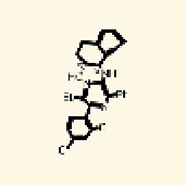 CCc1nc(-c2ccc(Cl)cc2Cl)c(CC)nc1N[C@H]1c2ccccc2CC[C@H]1O